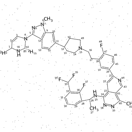 [2H]C1C=CN(c2nn(C)c3cc(C4CCN(CCc5cc(-c6cc7c(NC(C)c8cccc(C(F)F)c8F)nnc(C)c7cn6)ccc5F)CC4)ccc23)[C@H]([2H])N1